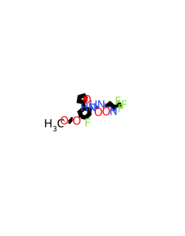 COCCOc1cc(-c2ccco2)c(NC(=O)Nc2cc(C(F)(F)F)no2)cc1F